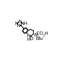 CC(C)(C)N(C(=O)O)[C@H]1CCc2cc(-c3nnn[nH]3)ccc2NC1=O